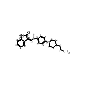 CCCC1CCN(c2ccc(NC=C3C(=O)Nc4ccccc43)cc2)CC1